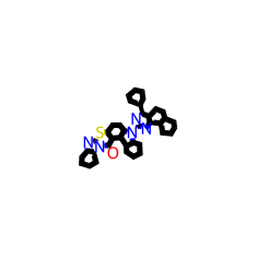 O=c1c2c(ccc3c2c2ccccc2n3-c2nc(-c3ccccc3)c3ccc4ccccc4c3n2)sc2nc3ccccc3n12